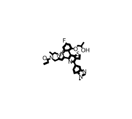 C=CC(=O)N1Cc2cc(-c3nc(-c4ccc5c(c4)ncn5C)c4ccsc4c3-c3c(F)cc(F)cc3OCC(C)O)nn2CC1C